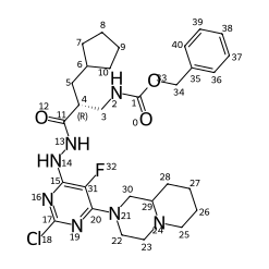 O=C(NC[C@@H](CC1CCCC1)C(=O)NNc1nc(Cl)nc(N2CCN3CCCCC3C2)c1F)OCc1ccccc1